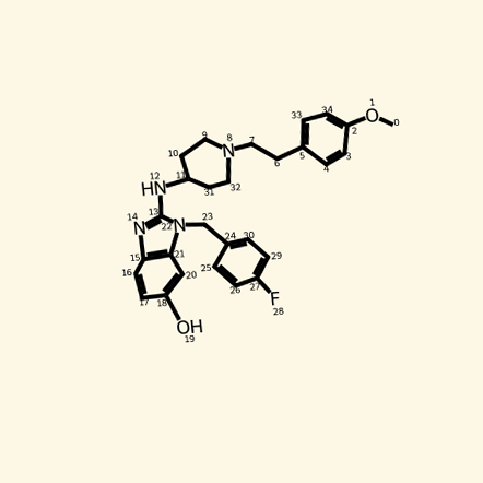 COc1ccc(CCN2CCC(Nc3nc4ccc(O)cc4n3Cc3ccc(F)cc3)CC2)cc1